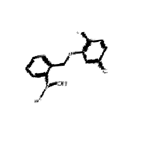 OB(O)c1ccccc1COc1cc(Cl)ccc1Cl